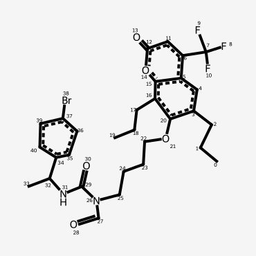 CCCc1cc2c(C(F)(F)F)cc(=O)oc2c(CCC)c1OCCCCN(C=O)C(=O)NC(C)c1ccc(Br)cc1